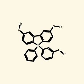 CCOc1cccc([Si]2(c3ccccc3)c3ccc(OCC)cc3-c3cc(OCC)ccc32)c1